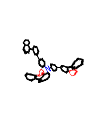 c1cc(-c2ccc(N(c3ccc(-c4ccc5oc6ccccc6c5c4)cc3)c3cccc4c3oc3ccccc34)cc2)cc(-c2cccc3ccccc23)c1